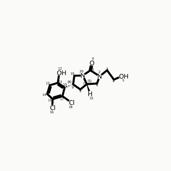 O=C1N(CCO)C[C@@H]2C[C@H](c3c(O)ccc(Cl)c3Cl)CN12